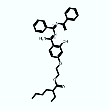 C=C(/N=C(\N=C(/N)c1ccc(OCCOC(=O)C(CC)CCCC)cc1O)c1ccccc1)c1ccccc1